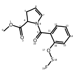 COC(=O)C1CC=CN1C(=O)c1ccccc1OSF